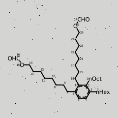 CCCCCCCCc1c(CCCCCC)ccc(CCCCCCCCOC=O)c1CCCCCCCCOC=O